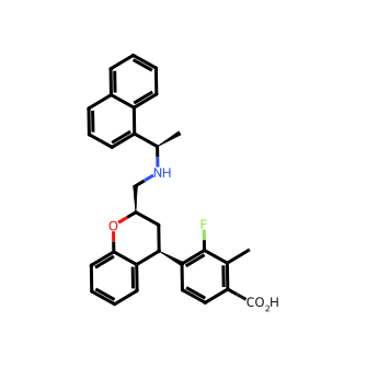 Cc1c(C(=O)O)ccc([C@@H]2C[C@H](CN[C@H](C)c3cccc4ccccc34)Oc3ccccc32)c1F